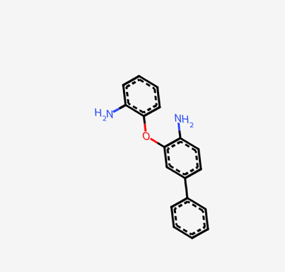 Nc1ccccc1Oc1cc(-c2ccccc2)ccc1N